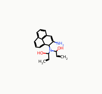 C=CC(O)N(C(O)C=C)C1C(N)=Cc2cccc3cccc1c23